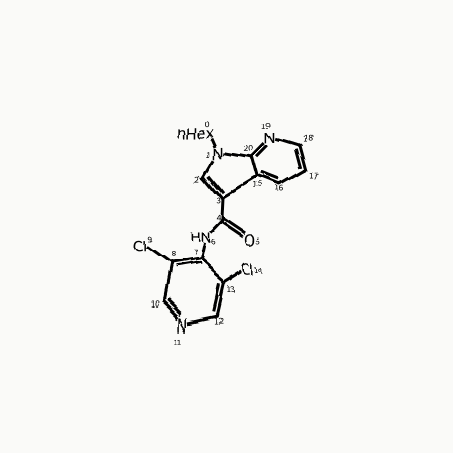 CCCCCCn1cc(C(=O)Nc2c(Cl)cncc2Cl)c2cccnc21